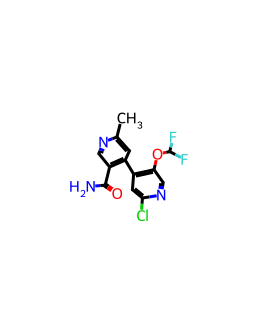 Cc1cc(-c2cc(Cl)ncc2OC(F)F)c(C(N)=O)cn1